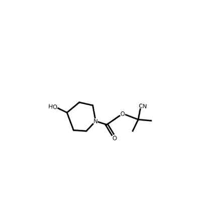 CC(C)(C#N)OC(=O)N1CCC(O)CC1